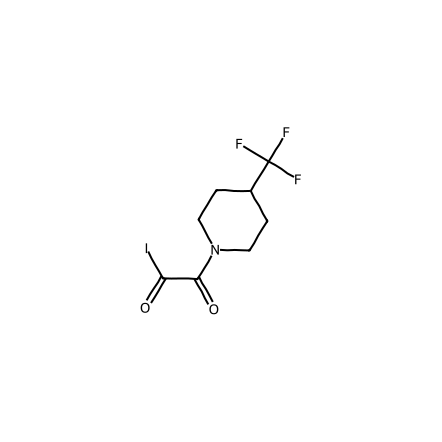 O=C(I)C(=O)N1CCC(C(F)(F)F)CC1